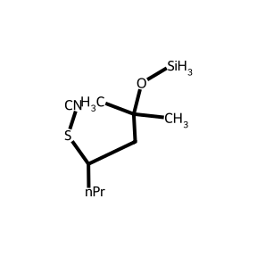 CCCC(CC(C)(C)O[SiH3])SC#N